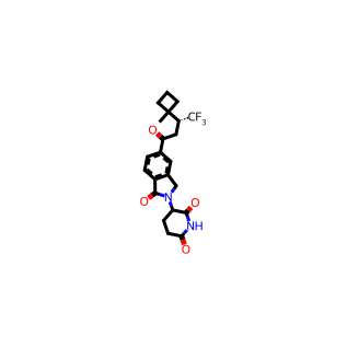 CC1([C@@H](CC(=O)c2ccc3c(c2)CN(C2CCC(=O)NC2=O)C3=O)C(F)(F)F)CCC1